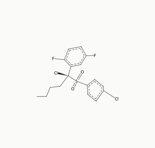 CCCC[C@](Cl)(c1cc(F)ccc1F)S(=O)(=O)c1ccc(Cl)cc1